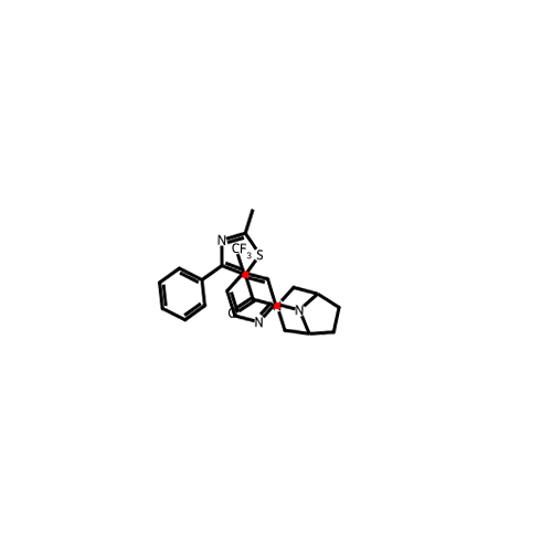 Cc1nc(-c2ccccc2)c(C(=O)N2CC3CCC(C2)N3c2cc(C(F)(F)F)ccn2)s1